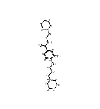 O=C(NCCN1CCCCC1)c1ccc(OCCCN2CCCCC2)c(F)c1